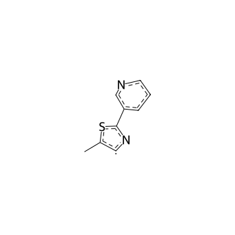 Cc1[c]nc(-c2cccnc2)s1